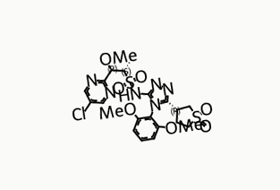 COc1cccc(OC)c1-n1c(NS(=O)(=O)[C@@H](C)[C@H](OC)c2ncc(Cl)cn2)nnc1[C@H]1CCS(=O)(=O)C1